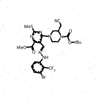 COC(=O)c1nc(SC)nc(N2CCN(C(=O)OC(C)(C)C)C(CC#N)C2)c1/C=N/Nc1cccc(Br)c1C(F)(F)F